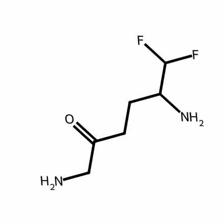 NCC(=O)CCC(N)C(F)F